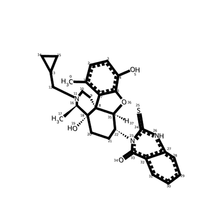 Cc1ccc(O)c2c1[C@]13CCN(CC4CC4)[C@H](C)[C@]1(O)CC[C@@H](n1c(=S)[nH]c4ccccc4c1=O)[C@@H]3O2